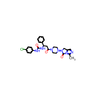 Cc1ncc2n1C(=O)N(N1CCN(C(=O)CC(NC(=O)Nc3ccc(Cl)cc3)c3ccccc3)CC1)C2